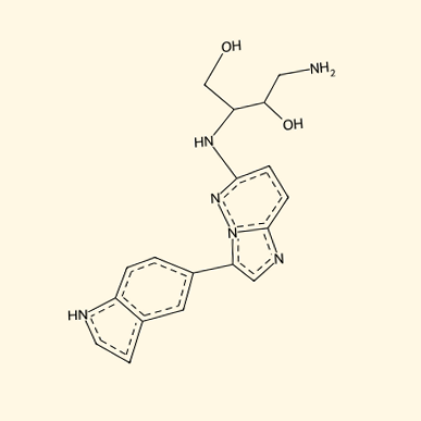 NCC(O)C(CO)Nc1ccc2ncc(-c3ccc4[nH]ccc4c3)n2n1